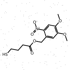 COc1cc(COC(=O)CCCS)c([N+](=O)[O-])cc1OC